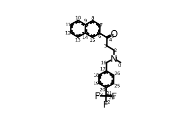 CN(CCC(=O)c1ccc2ccccc2c1)Cc1ccc(C(F)(F)F)cc1